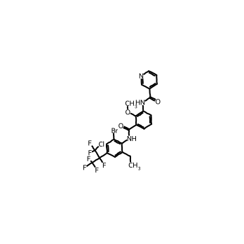 CCc1cc(C(F)(C(F)(F)F)C(F)(F)Cl)cc(Br)c1NC(=O)c1cccc(NC(=O)c2cccnc2)c1OC